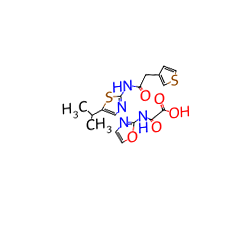 CC(C)c1cnc(NC(=O)Cc2ccsc2)s1.O=C(O)C(=O)Nc1ncco1